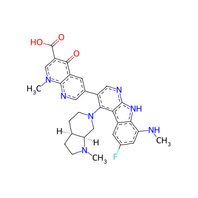 CNc1cc(F)cc2c1[nH]c1ncc(-c3cnc4c(c3)c(=O)c(C(=O)O)cn4C)c(N3CC[C@@H]4CCN(C)[C@@H]4C3)c12